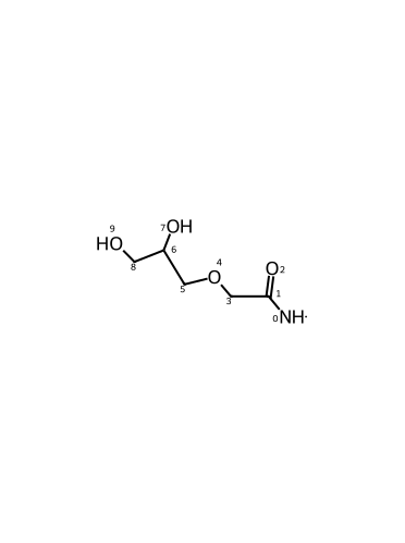 [NH]C(=O)COCC(O)CO